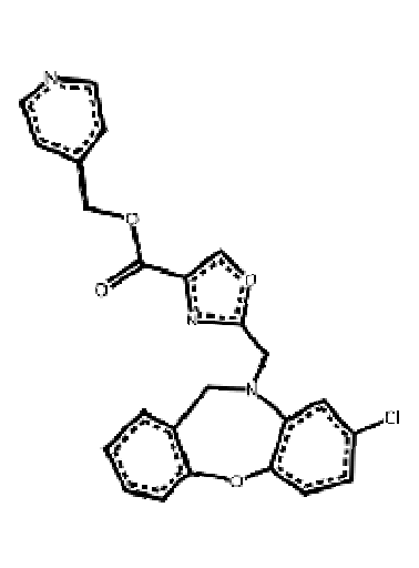 O=C(OCc1ccncc1)c1coc(CN2Cc3ccccc3Oc3ccc(Cl)cc32)n1